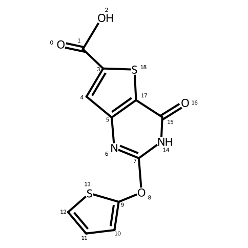 O=C(O)c1cc2nc(Oc3cccs3)[nH]c(=O)c2s1